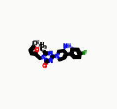 Cc1nc(N2CC=C(c3ccc(F)cc3)[C@@H](N)C2)nc(=O)n1Cc1ccc(C(F)(F)F)o1